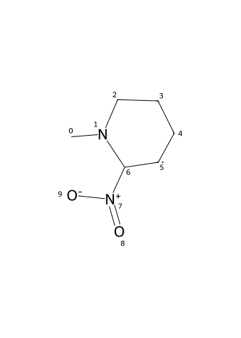 CN1CCC[CH]C1[N+](=O)[O-]